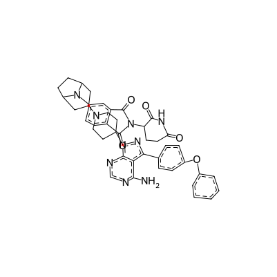 Nc1ncnc2c1c(-c1ccc(Oc3ccccc3)cc1)nn2C1CCN(C2CC3CCC(C2)N3c2ccc3c(c2)C(=O)N(C2CCC(=O)NC2=O)C3=O)CC1